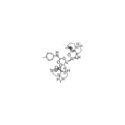 Cc1ccc(NC(=O)O[C@@H](C[C@H]2O[C@@H]3C[C@]4(C)CC[C@H]5[C@H](C)CC[C@@H]([C@H]2C)[C@@]35OO4)C2O[C@@H]3C[C@]4(C)CC[C@H]5[C@H](C)CC[C@@H]([C@H]2C)[C@@]35OO4)cc1